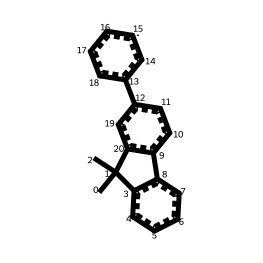 CC1(C)c2ccccc2-c2ccc(-c3c[c]ccc3)cc21